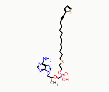 C[C@H](Cn1cnc2c(N)ncnc21)OCP(=O)(O)OCCSCCCCCCCCCCCC#Cc1cccs1